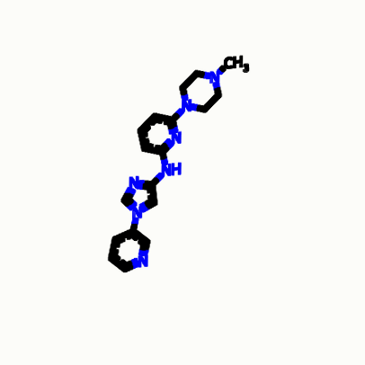 CN1CCN(c2cccc(Nc3cn(-c4cccnc4)cn3)n2)CC1